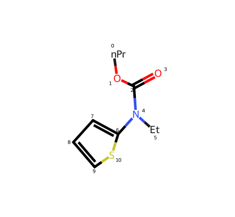 CCCOC(=O)N(CC)c1cccs1